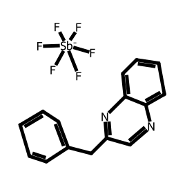 [F][Sb-]([F])([F])([F])([F])[F].c1ccc(Cc2cnc3ccccc3n2)cc1